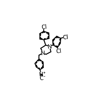 [C-]#[N+]c1ccc(CN2CCN(c3ccc(Cl)cc3Cl)C(c3ccc(Cl)cc3)C2)cc1